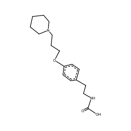 O=C(O)NCCc1ccc(OCCCN2CCCCC2)cc1